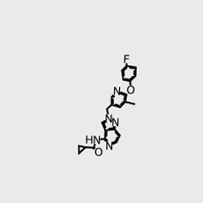 Cc1cc(Cn2cc3c(NC(=O)C4CC4)nccc3n2)cnc1Oc1ccc(F)cc1